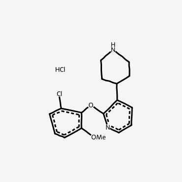 COc1cccc(Cl)c1Oc1ncccc1C1CCNCC1.Cl